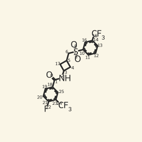 O=C(NC1CC(CS(=O)(=O)c2cccc(C(F)(F)F)c2)C1)c1ccc(F)c(C(F)(F)F)c1